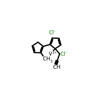 C#CC[C]1([V+2])C=CC=C1C1=C(C)C=CC1.[Cl-].[Cl-]